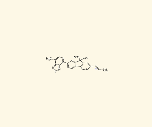 C/C=C/c1ccc2c(c1)C(CCC)(CCC)c1cc(-c3ccc(C)c4nsnc34)ccc1-2